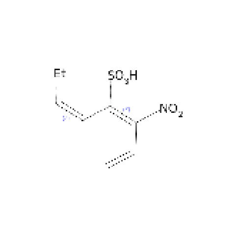 C=C/C(=C(\C=C/CC)S(=O)(=O)O)[N+](=O)[O-]